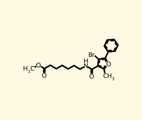 COC(=O)CCCCCCNC(=O)c1c(C)oc(-c2ccccc2)c1Br